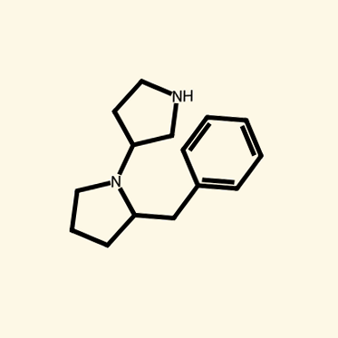 c1ccc(CC2CCCN2C2CCNC2)cc1